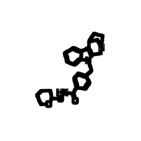 O=C(NOC1CCCCO1)c1ccc(Cn2c3c(c4ccccc42)C2CCN(C3)C2)cc1